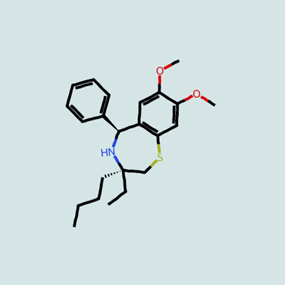 CCCC[C@@]1(CC)CSc2cc(OC)c(OC)cc2[C@H](c2ccccc2)N1